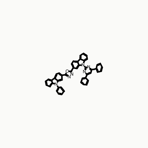 c1ccc(-c2cc(-c3ccccc3)nc(-n3c4ccccc4c4ccc(-c5nnc(-c6ccc7c8ccccc8n(-c8ccccc8)c7c6)o5)cc43)n2)cc1